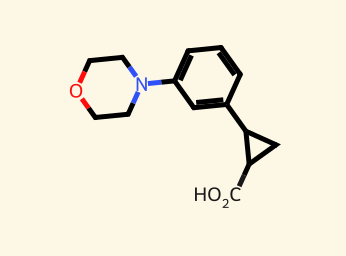 O=C(O)C1CC1c1cccc(N2CCOCC2)c1